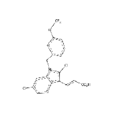 O=C(O)/C=C/c1c(Cl)n(Cc2cccc(OC(F)(F)F)c2)c2cc(Cl)ccc12